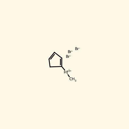 [Br-].[Br-].[Br-].[CH3][Hf+3][C]1=CC=CC1